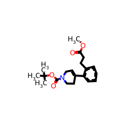 COC(=O)CCc1ccccc1C1=CCN(C(=O)OC(C)(C)C)CC1